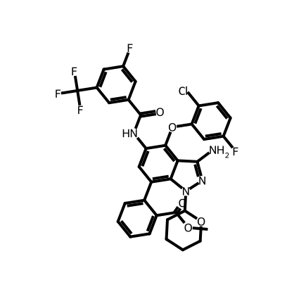 COC(=O)c1ccccc1-c1cc(NC(=O)c2cc(F)cc(C(F)(F)F)c2)c(Oc2cc(F)ccc2Cl)c2c(N)nn(C3CCCCO3)c12